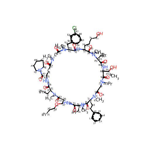 CCCN1CC(=O)N(C)[C@@H](CCc2ccccc2)C(=O)N(C)[C@@H](CC(C)C)C(=O)N[C@@H](COCCC(C)C)C(=O)N(C)[C@@H](CC(C)C)C(=O)N[C@H](C(=O)N2CCCCC2)CC(=O)N(C)CC(=O)N(C)[C@@H](Cc2cccc(Cl)c2)C(=O)N[C@@H](CCCCO)C(=O)N(C)[C@@H](C(C)C)C(=O)N[C@@H]([C@@H](C)O)C1=O